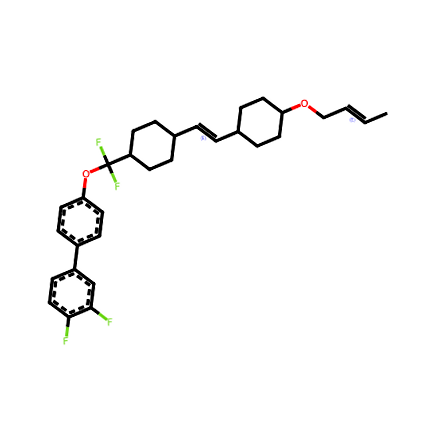 C/C=C/COC1CCC(/C=C/C2CCC(C(F)(F)Oc3ccc(-c4ccc(F)c(F)c4)cc3)CC2)CC1